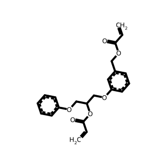 C=CC(=O)OCc1cccc(OCC(COc2ccccc2)OC(=O)C=C)c1